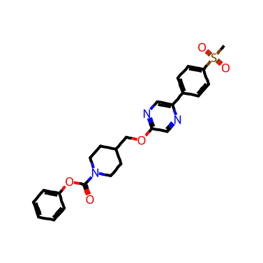 CS(=O)(=O)c1ccc(-c2cnc(OCC3CCN(C(=O)Oc4ccccc4)CC3)cn2)cc1